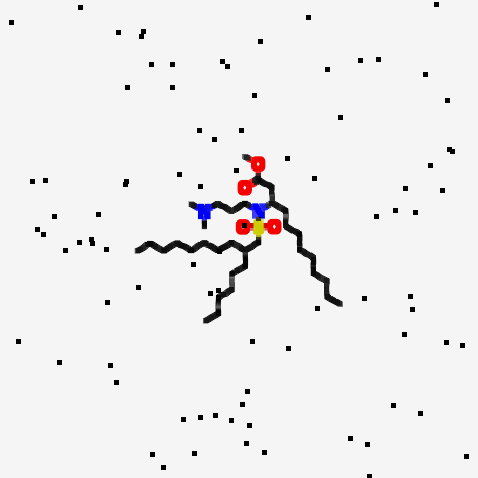 CCCCCCCCCC(CC(=O)OC)N(CCCN(C)C)S(=O)(=O)CC(CCCCCC)CCCCCCCC